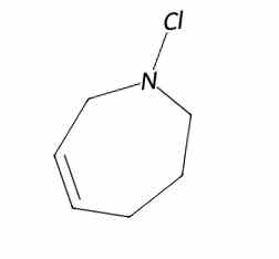 ClN1CC=CCCC1